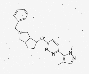 Cc1cnn(C)c1-c1ccc(OC2CCC3CN(Cc4ccccc4)CC32)nn1